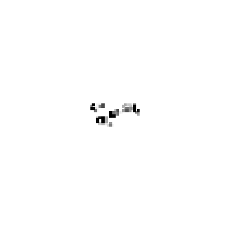 C.[Al+3].[N-3].[SiH4]